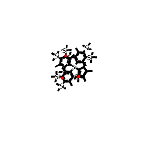 CC1=C(C)C(C)C([Si](c2c(C)c([Si](C)(C)C)c([Si](C)(C)C)c(C)c2[Si](C)(C)C)(c2c(C)c([Si](C)(C)C)c([Si](C)(C)C)c(C)c2[Si](C)(C)C)c2c(C)c([Si](C)(C)C)c([Si](C)(C)C)c(C)c2[Si](C)(C)C)=C1C